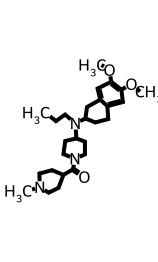 CCCN(C1CCN(C(=O)C2CCN(C)CC2)CC1)C1CCc2cc(OC)c(OC)cc2C1